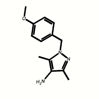 COc1ccc(Cn2nc(C)c(N)c2C)cc1